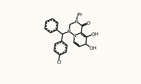 CC(C)N1CN(C(c2ccccc2)c2ccc(Cl)cc2)N2C=CC(O)C(O)=C2C1=O